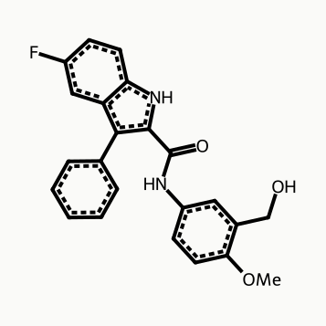 COc1ccc(NC(=O)c2[nH]c3ccc(F)cc3c2-c2ccccc2)cc1CO